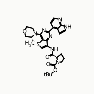 C[C@@H]1COCCN1c1nc(-c2ccnc3[nH]ccc23)nc2c(NC(=O)[C@H]3CCCN3C(=O)OC(C)(C)C)csc12